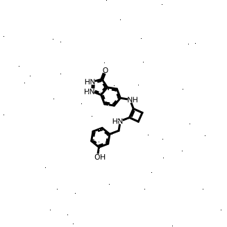 O=c1[nH][nH]c2ccc(NC3=C(NCc4cccc(O)c4)CC3)cc12